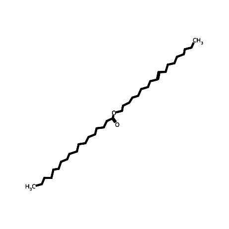 CCCCCCCCC=CCCCCCCCCOC(=O)CCCCCCCCCCCCCCCCC